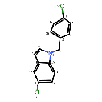 Clc1ccc(Cn2[c]cc3cc(Cl)ccc32)cc1